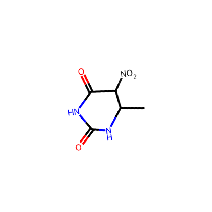 CC1NC(=O)NC(=O)C1[N+](=O)[O-]